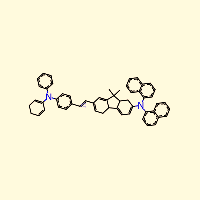 CC1(C)C2=CC(/C=C/c3ccc(N(C4=CCCC=C4)c4ccccc4)cc3)=CCC2C2=CC=C(N(c3cccc4ccccc34)c3cccc4ccccc34)CC21